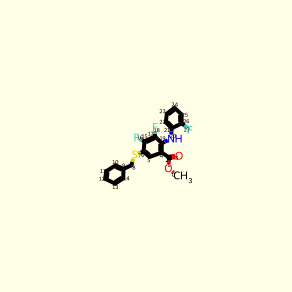 COC(=O)c1cc(SCc2ccccc2)c(F)c(F)c1Nc1ccccc1F